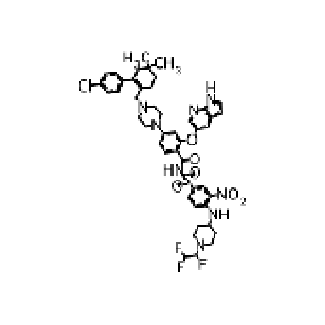 CC1(C)CCC(CN2CCN(c3ccc(C(=O)NS(=O)(=O)c4ccc(NC5CCN(C(F)C(F)F)CC5)c([N+](=O)[O-])c4)c(Oc4cnc5[nH]ccc5c4)c3)CC2)=C(c2ccc(Cl)cc2)C1